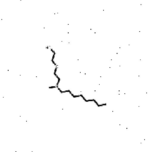 CCCCCCCCN(C)CCOCCO